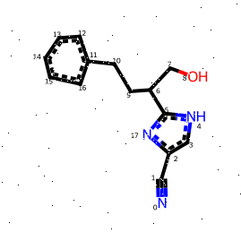 N#Cc1c[nH]c(C(CO)CCc2ccccc2)n1